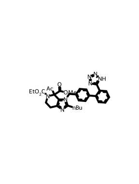 CCCCc1nc2c(n1Cc1ccc(-c3ccccc3-c3nnn[nH]3)cc1)C(C(C)=O)(C(=O)OC)N(C(=O)OCC)CC2